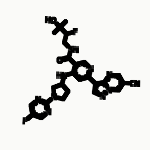 CC(C)(O)C(F)CNC(=O)c1cnc(-c2cnn3cc(C#N)cnc23)cc1NC1CCN(c2ncc(F)cn2)C1